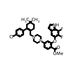 COC(=O)c1ccc(N2CCN(CC3=C(c4ccc(Cl)cc4)CC(C)(C)CC3)CC2)cc1Oc1cc2cc[nH]c2c(F)c1F